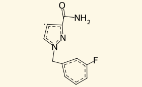 NC(=O)c1[c]cn(Cc2cccc(F)c2)n1